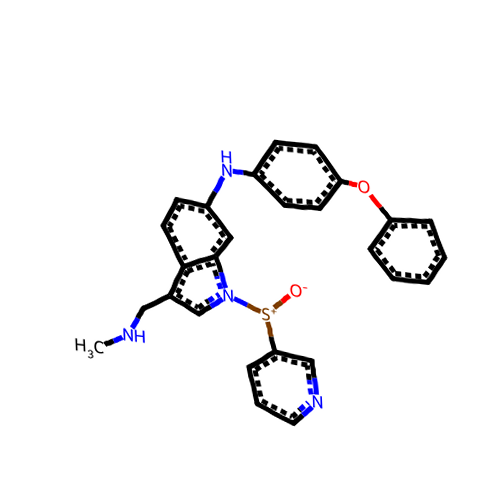 CNCc1cn([S+]([O-])c2cccnc2)c2cc(Nc3ccc(Oc4ccccc4)cc3)ccc12